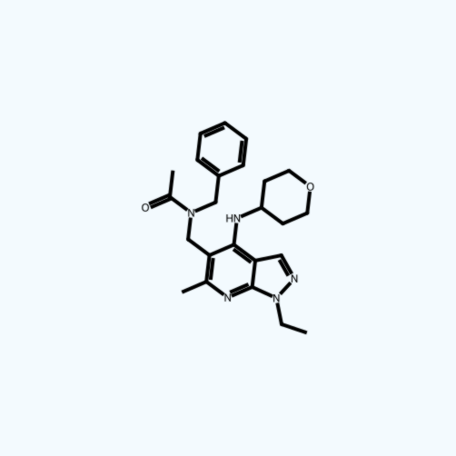 CCn1ncc2c(NC3CCOCC3)c(CN(Cc3ccccc3)C(C)=O)c(C)nc21